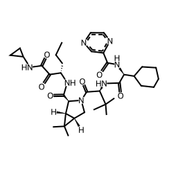 CCC[C@H](NC(=O)[C@@H]1[C@@H]2[C@H](CN1C(=O)[C@@H](NC(=O)[C@@H](NC(=O)c1cnccn1)C1CCCCC1)C(C)(C)C)C2(C)C)C(=O)C(=O)NC1CC1